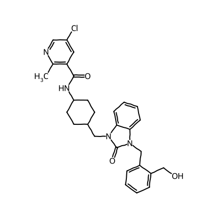 Cc1ncc(Cl)cc1C(=O)NC1CCC(Cn2c(=O)n(Cc3ccccc3CO)c3ccccc32)CC1